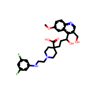 COc1ccc2ncc(CO)c(C(O)CCC3(C(=O)O)CCN(CCNc4cc(F)cc(F)c4)CC3)c2c1